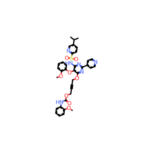 COc1ccccc1NC(=O)OCC#CCOc1nc(-c2ccncc2)nc(NS(=O)(=O)c2ccc(C(C)C)cn2)c1Oc1ccccc1OC